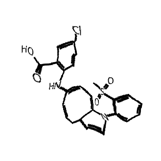 CS(=O)(=O)c1ccccc1N1C=CC2C=CC(Nc3ccc(Cl)cc3C(=O)O)=CC=C21